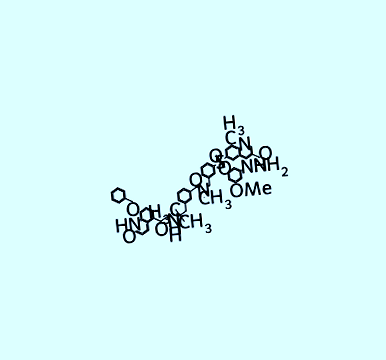 COc1cccc(Nc2c(C(N)=O)cnc3c(C)cc(S(=O)(=O)c4cccc(CN(C)C(=O)c5cccc(CC(C)(C)NC[C@H](O)c6ccc(OCc7ccccc7)c7[nH]c(=O)ccc67)c5)c4)cc23)c1